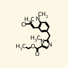 C=Nc1ccc(Cc2ncc(C(=O)OCC)n2C)cc1/C=C(\C)Cl